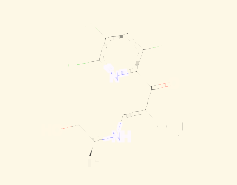 CCOC(=O)C(=CN[C@H](CO)C(C)C)C(=O)c1nc(Cl)c(Cl)cc1Cl